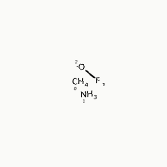 C.N.[O]F